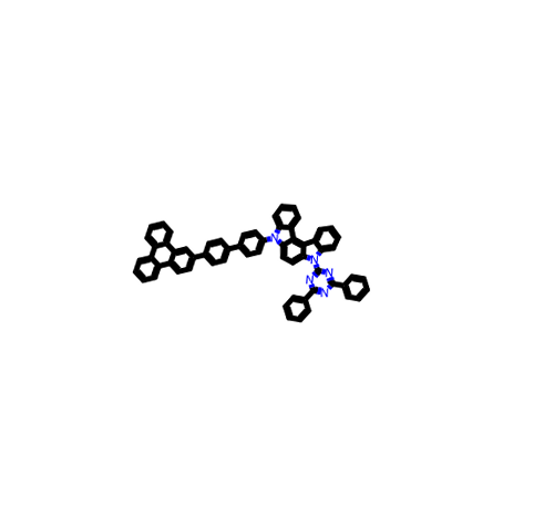 c1ccc(-c2nc(-c3ccccc3)nc(-n3c4ccccc4c4c5c6ccccc6n(-c6ccc(-c7ccc(-c8ccc9c%10ccccc%10c%10ccccc%10c9c8)cc7)cc6)c5ccc43)n2)cc1